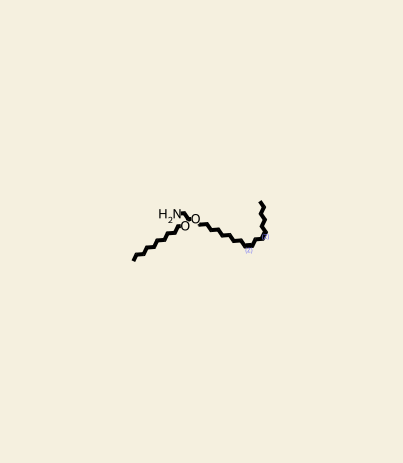 CCCCC/C=C\C/C=C\CCCCCCCCOC(CN)OCCCCCCCCCC